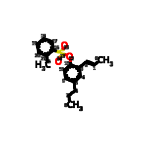 CC=Cc1cc(CCC)ccc1OS(=O)(=O)c1ccccc1C